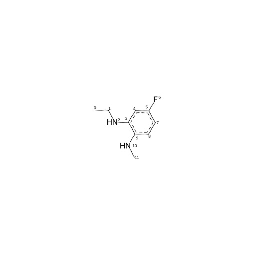 CCNc1cc(F)ccc1NC